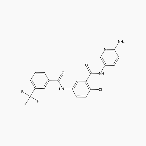 Nc1ccc(NC(=O)c2cc(NC(=O)c3cccc(C(F)(F)F)c3)ccc2Cl)cn1